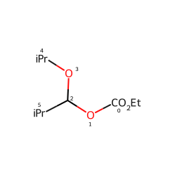 CCOC(=O)OC(OC(C)C)C(C)C